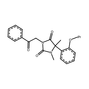 CC(C)Oc1ccccc1C1(C)C(=O)N(CC(=O)c2ccccc2)C(=O)N1C